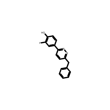 Oc1ccc(-c2ccc(Cc3ccccc3)nn2)cc1F